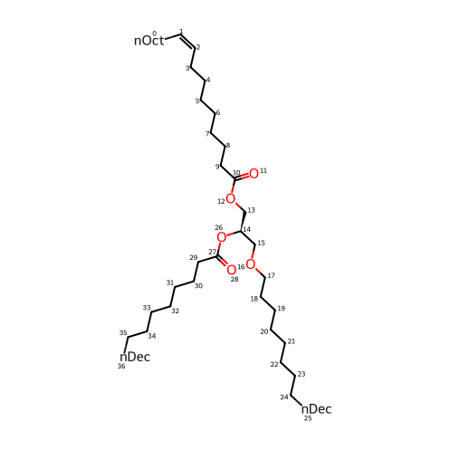 CCCCCCCC/C=C\CCCCCCCC(=O)OC[C@@H](COCCCCCCCCCCCCCCCCCC)OC(=O)CCCCCCCCCCCCCCCCC